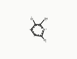 CCc1ccc(CC)c(S)n1